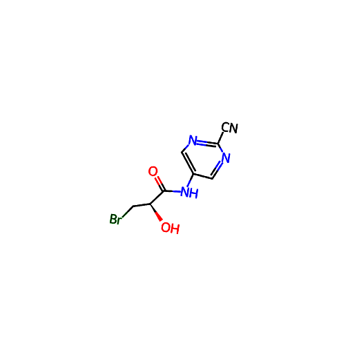 N#Cc1ncc(NC(=O)[C@@H](O)CBr)cn1